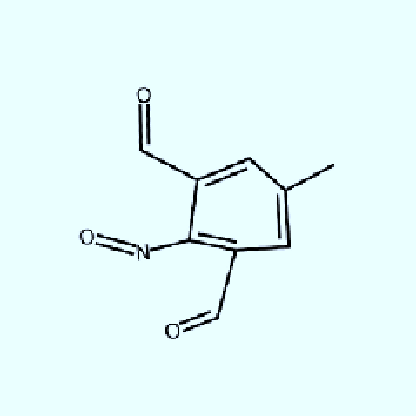 Cc1cc(C=O)c(N=O)c(C=O)c1